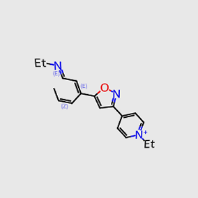 C\C=C/C(=C\C=N\CC)c1cc(-c2cc[n+](CC)cc2)no1